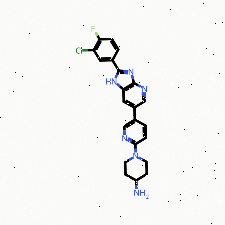 NC1CCN(c2ccc(-c3cnc4nc(-c5ccc(F)c(Cl)c5)[nH]c4c3)cn2)CC1